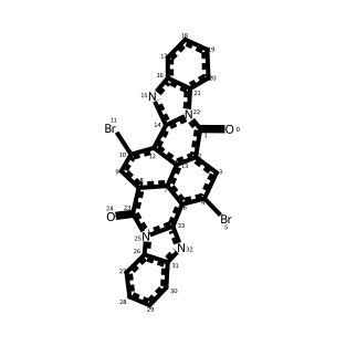 O=c1c2cc(Br)c3c4c(cc(Br)c(c24)c2nc4ccccc4n12)c(=O)n1c2ccccc2nc31